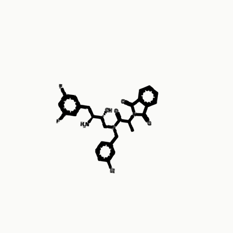 CCc1cccc(CN(C[C@@H](O)[C@@H](N)Cc2cc(F)cc(F)c2)C(=O)C(C)N2C(=O)c3ccccc3C2=O)c1